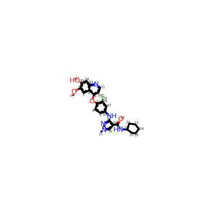 COc1cc2c(Oc3ccc(Nc4nn(C)cc4C(=O)NC4CCCCC4)cc3F)ccnc2cc1O